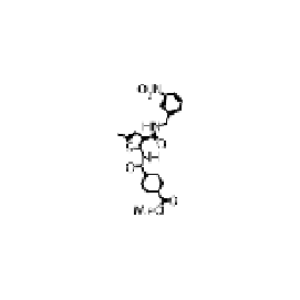 COC(=O)C1CCC(C(=O)Nc2sc(C)cc2C(=O)NCc2cccc([N+](=O)[O-])c2)CC1